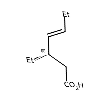 CCC=C[C@@H](CC)CC(=O)O